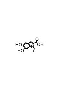 CCn1c(C(=O)O)cc2cc(O)c(O)cc21